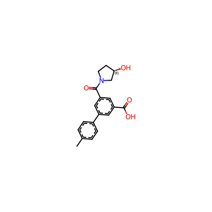 Cc1ccc(-c2cc(C(=O)O)cc(C(=O)N3CC[C@@H](O)C3)c2)cc1